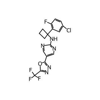 Fc1ccc(Cl)cc1C1(Nc2ncc(-c3nnc(C(F)(F)F)o3)cn2)CCC1